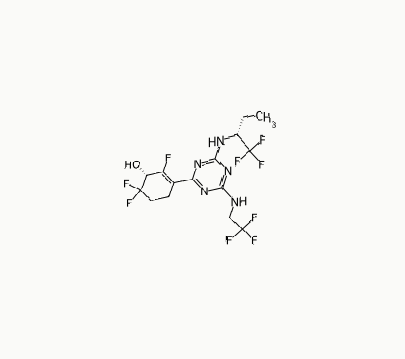 CC[C@@H](Nc1nc(NCC(F)(F)F)nc(C2=C(F)[C@@H](O)C(F)(F)CC2)n1)C(F)(F)F